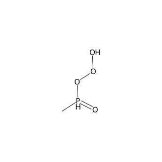 C[PH](=O)OOO